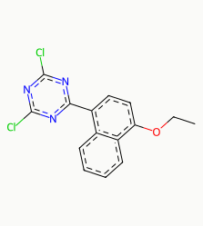 CCOc1ccc(-c2nc(Cl)nc(Cl)n2)c2ccccc12